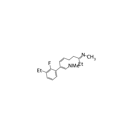 CC/C(CC/C=C\C(=C/NC)c1cccc(CC)c1F)=N\C